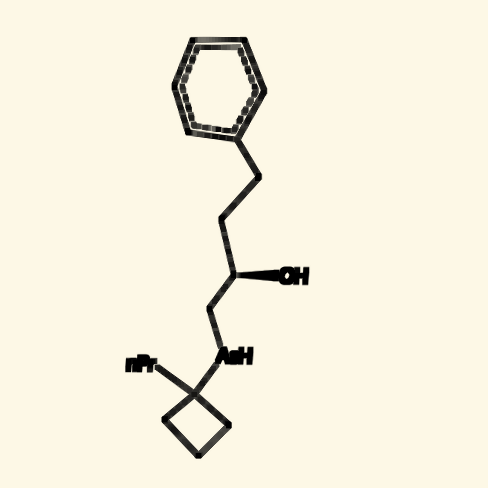 CCCC1([AsH]C[C@H](O)CCc2ccccc2)CCC1